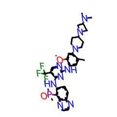 COc1cc(N2CCC(N3CC(N(C)C)C3)CC2)c(C)cc1Nc1ncc(C(F)(F)F)c(Nc2ccc3nccnc3c2P(C)(C)=O)n1